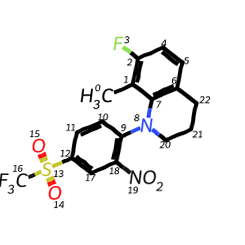 Cc1c(F)ccc2c1N(c1ccc(S(=O)(=O)C(F)(F)F)cc1[N+](=O)[O-])CCC2